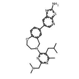 Cc1nc(CN(C)C)nc(N2CCOc3ccc(-c4cnc5sc(N)nc5c4)cc3C2)c1CC(C)C